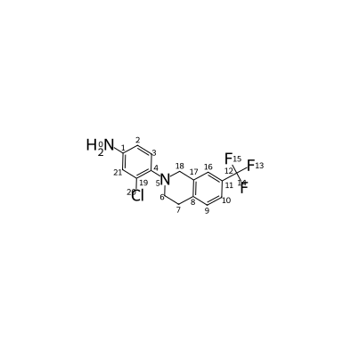 Nc1ccc(N2CCc3ccc(C(F)(F)F)cc3C2)c(Cl)c1